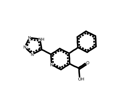 O=C(O)c1cnc(-c2nnn[nH]2)cc1-c1ccccc1